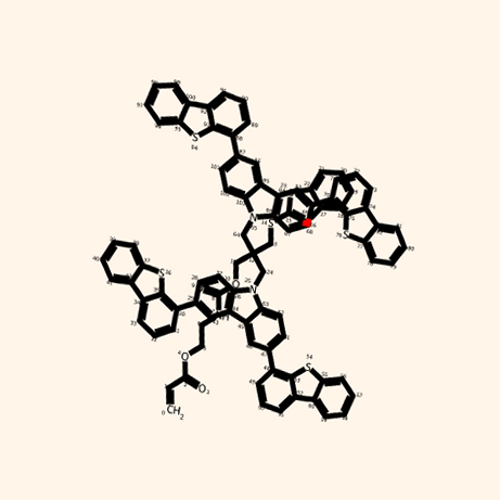 C=CC(=O)OCCNC(=O)OCC(CSc1nc2ccccc2s1)(Cn1c2ccc(-c3cccc4c3sc3ccccc34)cc2c2cc(-c3cccc4c3sc3ccccc34)ccc21)Cn1c2ccc(-c3cccc4c3sc3ccccc34)cc2c2cc(-c3cccc4c3sc3ccccc34)ccc21